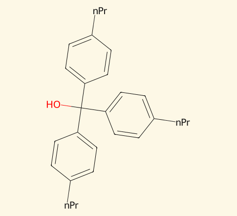 CCCc1ccc(C(O)(c2ccc(CCC)cc2)c2ccc(CCC)cc2)cc1